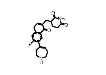 O=C1CCC(CC2=CCc3cc(F)c(C4=CCCNCC4)cc3C2=O)C(=O)N1